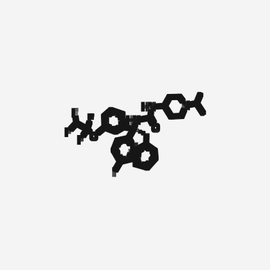 CC(C)N1CCC(NC(=O)N[C@](Cc2ccccc2)(c2cccc(OC(F)(F)C(F)F)c2)c2ccc(I)cn2)CC1